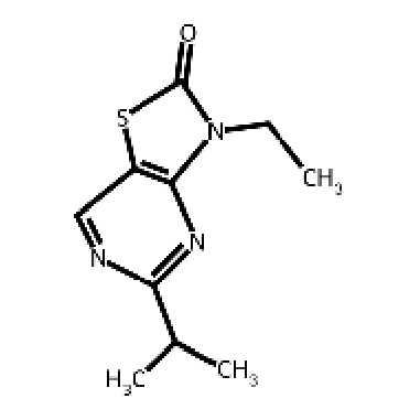 CCn1c(=O)sc2cnc(C(C)C)nc21